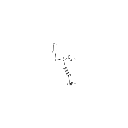 [C]#CCC(C)C#C[CH]CC